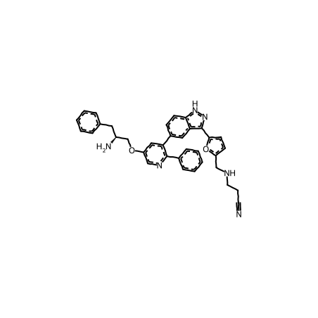 N#CCCNCc1ccc(-c2n[nH]c3ccc(-c4cc(OC[C@@H](N)Cc5ccccc5)cnc4-c4ccccc4)cc23)o1